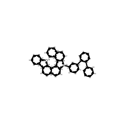 c1ccc(-c2ccccc2-c2cccc(-n3c4ccc5ccccc5c4c4c5c(ccc6c7ccccc7oc65)ccc43)c2)cc1